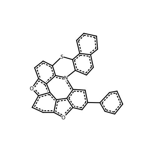 c1ccc(-c2cc3oc4ccc5oc6ccc7c8c6c5c4c3c(c2)n8-c2ccc3ccccc3c2S7)cc1